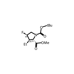 CC[C@@H]1[C@@H](C(=O)OC)N(C(=O)OC(C)(C)C)C[C@@H]1F